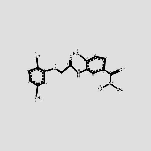 Cc1ccc(C(C)C)c(OCC(=O)Nc2cc(C(=O)N(C)C)ccc2C)c1